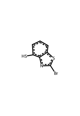 Sc1cccc2sc(Br)nc12